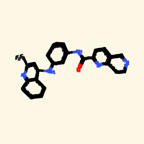 O=C(Nc1cccc(Nc2cc(C(F)(F)F)nc3ccccc23)c1)c1ccc2cnccc2n1